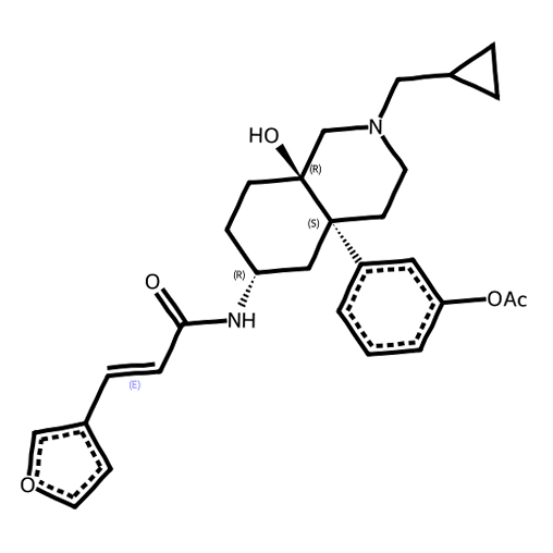 CC(=O)Oc1cccc([C@@]23CCN(CC4CC4)C[C@@]2(O)CC[C@@H](NC(=O)/C=C/c2ccoc2)C3)c1